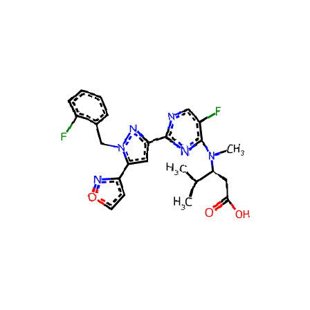 CC(C)[C@H](CC(=O)O)N(C)c1nc(-c2cc(-c3ccon3)n(Cc3ccccc3F)n2)ncc1F